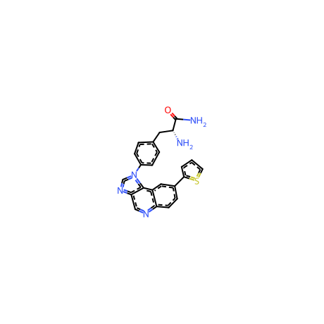 NC(=O)[C@H](N)Cc1ccc(-n2cnc3cnc4ccc(-c5cccs5)cc4c32)cc1